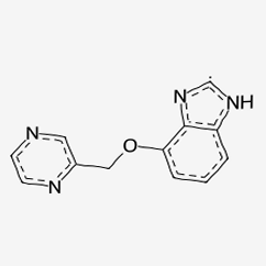 [c]1nc2c(OCc3cnccn3)cccc2[nH]1